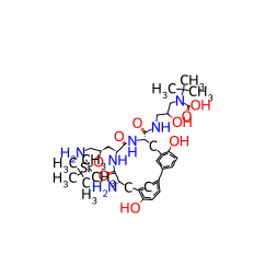 CC(C)(C)N(CC(O)CNC(=O)[C@@H]1Cc2cc(ccc2O)-c2ccc(O)c(c2)C[C@H](N)C(=O)N[C@@H](C[C@H](CN)O[Si](C)(C)C(C)(C)C)C(=O)N1)C(=O)O